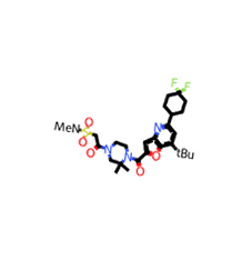 CNS(=O)(=O)CC(=O)N1CCN(C(=O)c2cc3nc(C4CCC(F)(F)CC4)cc(C(C)(C)C)c3o2)C(C)(C)C1